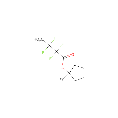 CCC1(OC(=O)C(F)(F)C(F)(F)C(=O)O)CCCC1